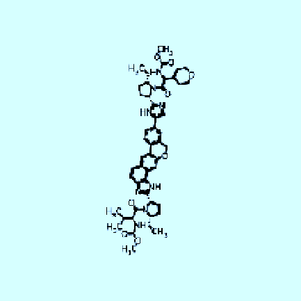 CC[C@H]1CC[C@@H](c2ncc(-c3ccc4c(c3)COc3cc5c(ccc6nc([C@@H]7CC[C@H](CC)N7C(=O)[C@@H](NC(=O)OC)C(C)C)[nH]c65)cc3-4)[nH]2)N1C(=O)C(NC(=O)OC)C1CCOCC1